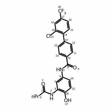 CCCC(=O)Nc1cc(NC(=O)c2ccc(-c3ccc(C(F)(F)F)cc3Cl)cc2)ccc1O